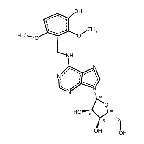 COc1ccc(O)c(OC)c1CNc1ncnc2c1ncn2[C@@H]1O[C@H](CO)[C@@H](O)[C@H]1O